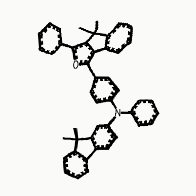 CC1(C)c2ccccc2-c2ccc(N(c3ccccc3)c3ccc(-c4oc(-c5ccccc5)c5c4-c4ccccc4C5(C)C)cc3)cc21